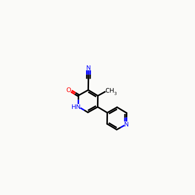 Cc1c(-c2ccncc2)c[nH]c(=O)c1C#N